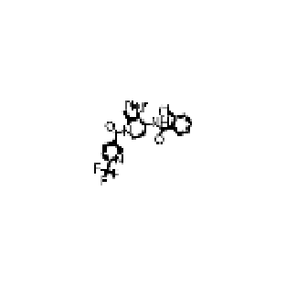 Cn1ncc2c1C(NC(=O)c1ccccc1Cl)CCN2C(=O)c1ccc(C(F)(F)F)nc1